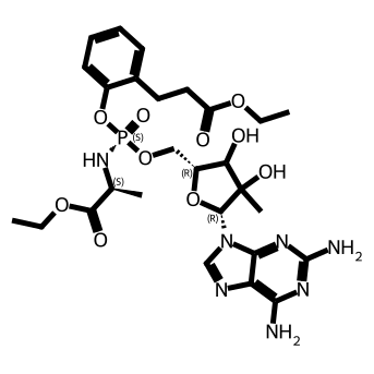 CCOC(=O)CCc1ccccc1O[P@](=O)(N[C@@H](C)C(=O)OCC)OC[C@H]1O[C@@H](n2cnc3c(N)nc(N)nc32)C(C)(O)C1O